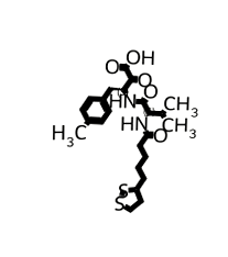 Cc1ccc(C[C@H](NC(=O)[C@@H](NC(=O)CCCCC2CCSS2)C(C)C)C(=O)C(=O)O)cc1